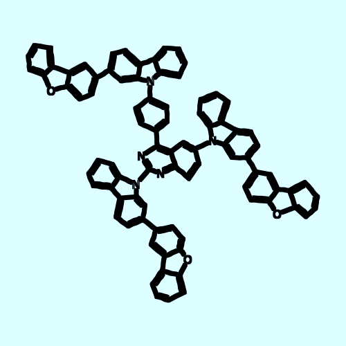 c1ccc2c(c1)oc1ccc(-c3ccc4c5ccccc5n(-c5ccc(-c6nc(-n7c8ccccc8c8ccc(-c9ccc%10oc%11ccccc%11c%10c9)cc87)nc7ccc(-n8c9ccccc9c9ccc(-c%10ccc%11oc%12ccccc%12c%11c%10)cc98)cc67)cc5)c4c3)cc12